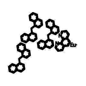 [Eu].c1ccc2c(Cc3cccc4ccccc34)cccc2c1.c1ccc2c(Cc3cccc4ccccc34)cccc2c1.c1ccc2c(Cc3cccc4ccccc34)cccc2c1.c1cnc2c(c1)ccc1cccnc12